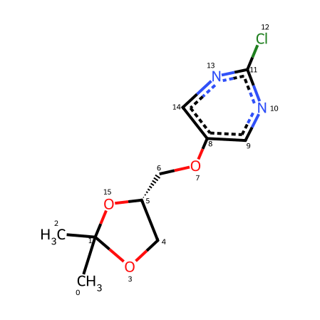 CC1(C)OC[C@@H](COc2cnc(Cl)nc2)O1